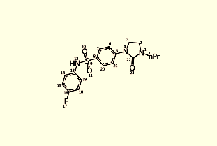 CCCN1CCN(c2ccc(S(=O)(=O)Nc3ccc(F)cc3)cc2)C1=O